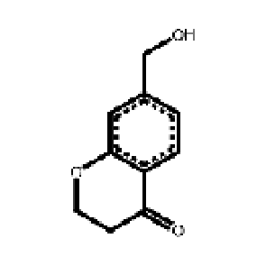 O=C1CCOc2cc(CO)ccc21